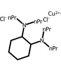 CCCN(CCC)C1CCCCC1N(CCC)CCC.[Cl-].[Cl-].[Cu+2]